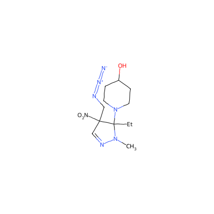 CCC1(N2CCC(O)CC2)N(C)N=CC1(CN=[N+]=[N-])[N+](=O)[O-]